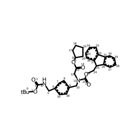 CC(C)(C)OC(=O)NCc1ccc(CN(CC(=O)OC2CCCC2)C(=O)OCC2c3ccccc3-c3ccccc32)cc1